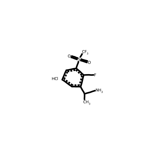 CC(N)c1cccc(S(=O)(=O)C(F)(F)F)c1F.Cl